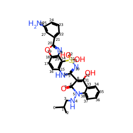 CC(C)CNn1c(=O)c(C2=NS(O)(O)c3c(ccc4oc(-c5cccc(N)c5)nc34)N2)c(O)c2ccccc21